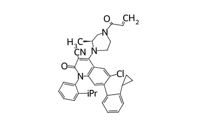 C=CC(=O)N1CCN(c2c(C#N)c(=O)n(-c3ccccc3C(C)C)c3cc(-c4ccccc4C4CC4)c(Cl)cc23)[C@@H](C)C1